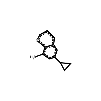 Bc1cc(C2CC2)cc2cccnc12